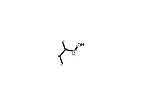 CCC(C)NO